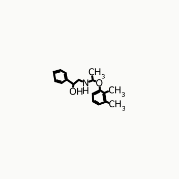 Cc1cccc(OC(C)NCC(O)c2ccccc2)c1C